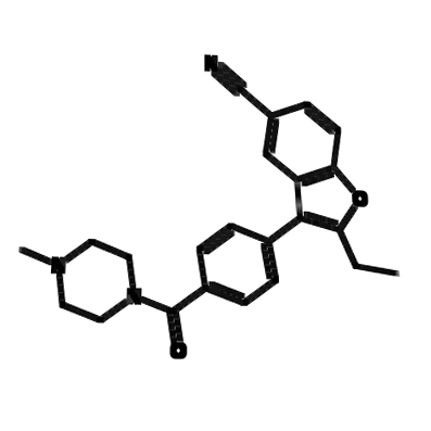 CCc1oc2ccc(C#N)cc2c1-c1ccc(C(=O)N2CCN(C)CC2)cc1